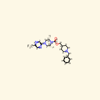 C[C@@H]1CN(c2cnc(C(F)(F)F)cn2)C[C@H](C)N1C(=O)OCC1CCN(Cc2ccccc2)CC1